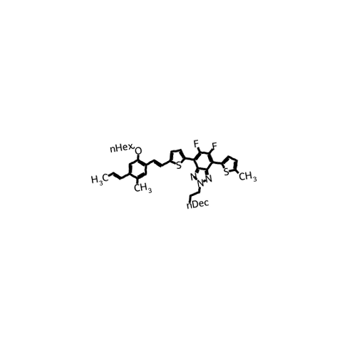 C/C=C/c1cc(OCCCCCC)c(/C=C/c2ccc(-c3c(F)c(F)c(-c4ccc(C)s4)c4nn(CCCCCCCCCCCC)nc34)s2)cc1C